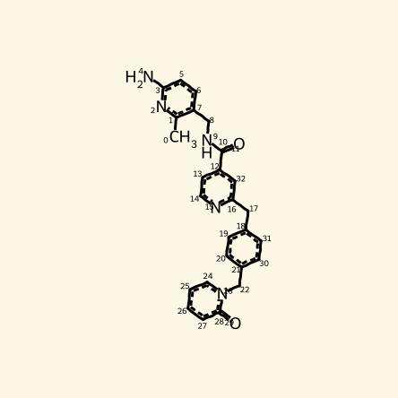 Cc1nc(N)ccc1CNC(=O)c1ccnc(Cc2ccc(Cn3ccccc3=O)cc2)c1